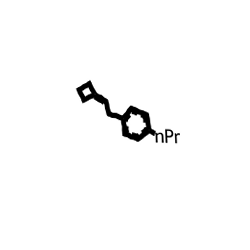 CCCc1ccc(CC=C2CCC2)cc1